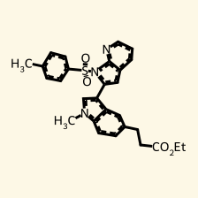 CCOC(=O)CCc1ccc2c(c1)c(-c1cc3cccnc3n1S(=O)(=O)c1ccc(C)cc1)cn2C